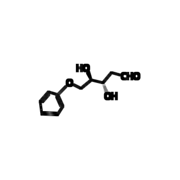 O=CC[C@H](O)[C@H](O)COc1ccccc1